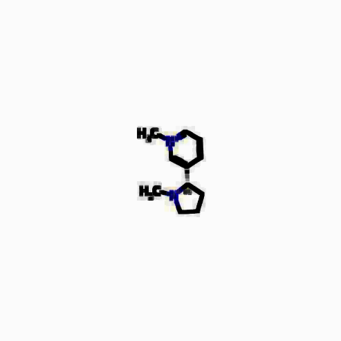 CN1CCC[C@H]1c1ccc[n+](C)c1